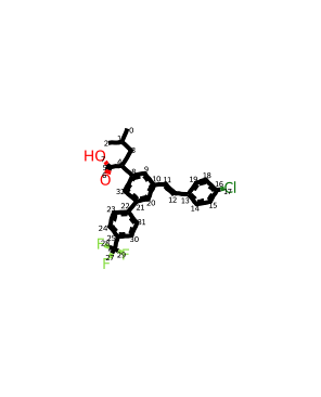 CC(C)CC(C(=O)O)c1cc(C=Cc2ccc(Cl)cc2)cc(-c2ccc(C(F)(F)F)cc2)c1